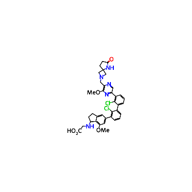 COc1cc(-c2cccc(-c3cccc(-c4cnc(CN5CC6(CCC(=O)N6)C5)c(OC)n4)c3Cl)c2Cl)cc2c1C(NCC(=O)O)CC2